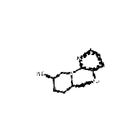 N#CC1CCC2COc3cccnc3N2C1